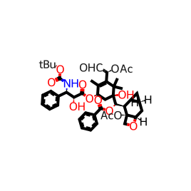 CC(=O)O[C@@H](C=O)C1=C(C)[C@@H](OC(=O)[C@H](O)[C@@H](NC(=O)OC(C)(C)C)c2ccccc2)C[C@@](O)([C@@H](OC(=O)c2ccccc2)[C@H]2[C@H]3C[C@H]3C[C@H]3OC[C@@]23OC(C)=O)C1(C)C